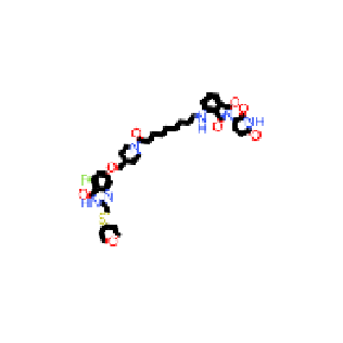 O=C1CCC(N2C(=O)c3cccc(NCCCCCCCCC(=O)N4CCC(COc5cc(F)c6c(=O)[nH]c(CSC7CCOCC7)nc6c5)CC4)c3C2=O)C(=O)N1